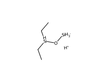 CC[SiH](CC)O[SiH2].[H+]